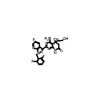 CC1(CCO)CC(=O)Nc2nc(-c3nn(Cc4c(F)cccc4F)c4ncc(F)cc34)nc(N)c21